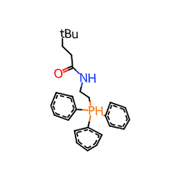 CC(C)(C)CCC(=O)NCC[PH](c1ccccc1)(c1ccccc1)c1ccccc1